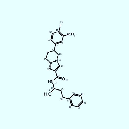 Cc1cc(C2CCc3nc(C(=O)NC(C)CCc4ccccc4)cn3C2)ccc1F